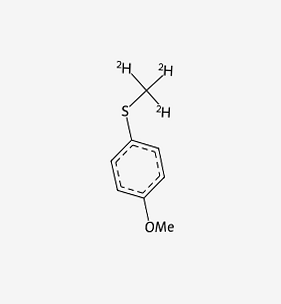 [2H]C([2H])([2H])Sc1ccc(OC)cc1